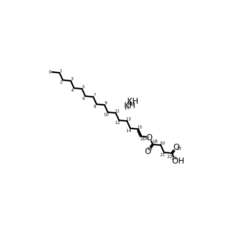 CCCCCCCCCCCCCCC/C=C/OC(=O)CCC(=O)O.[KH].[KH]